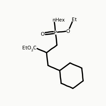 CCCCCCP(=O)(CC(CC1CCCCC1)C(=O)OCC)OCC